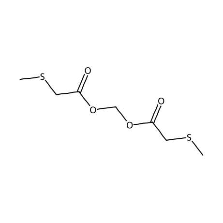 CSCC(=O)OCOC(=O)CSC